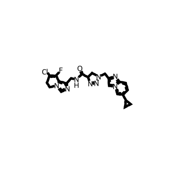 O=C(NCc1ncn2c1C(F)=C(Cl)CC2)C1CN(Cc2cn3cc(C4CC4)ccc3n2)N=N1